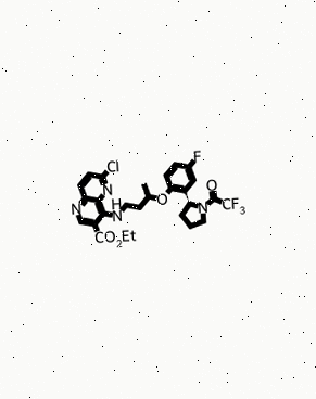 CCOC(=O)c1cnc2ccc(Cl)nc2c1NCCC(C)Oc1ccc(F)cc1[C@H]1CCCN1C(=O)C(F)(F)F